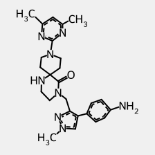 Cc1cc(C)nc(N2CCC3(CC2)NCCN(Cc2nn(C)cc2-c2ccc(N)cc2)C3=O)n1